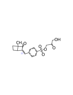 CC12CCC1/C(=C/c1ccc(S(=O)(=O)OCC(=O)CO)cc1)C2=O